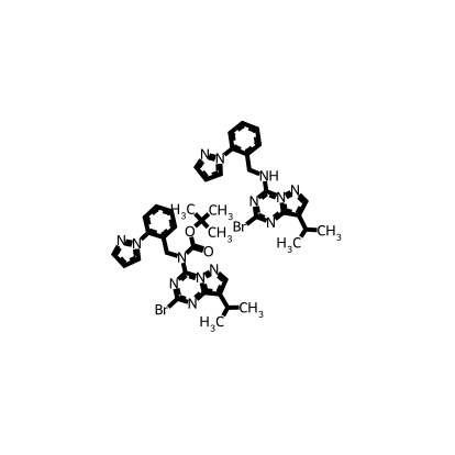 CC(C)c1cnn2c(N(Cc3ccccc3-n3cccn3)C(=O)OC(C)(C)C)nc(Br)nc12.CC(C)c1cnn2c(NCc3ccccc3-n3cccn3)nc(Br)nc12